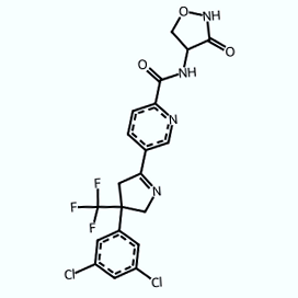 O=C(NC1CONC1=O)c1ccc(C2=NCC(c3cc(Cl)cc(Cl)c3)(C(F)(F)F)C2)cn1